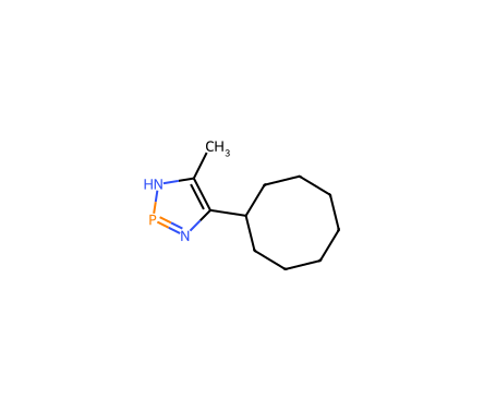 Cc1[nH]pnc1C1CCCCCCC1